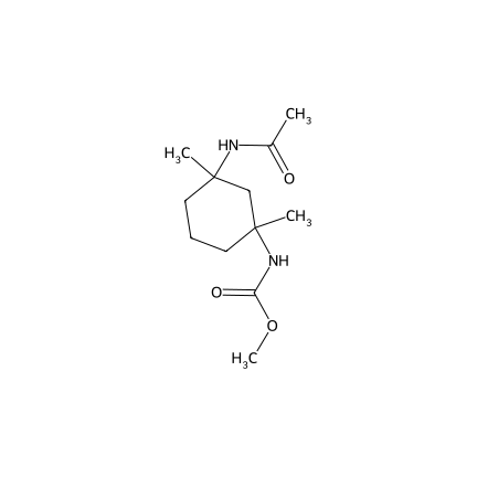 COC(=O)NC1(C)CCCC(C)(NC(C)=O)C1